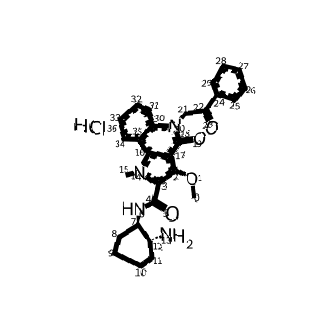 COc1c(C(=O)N[C@@H]2CCCC[C@H]2N)n(C)c2c1c(=O)n(CC(=O)c1ccccc1)c1ccccc21.Cl